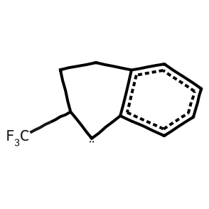 FC(F)(F)C1[C]c2ccccc2CC1